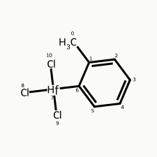 Cc1cccc[c]1[Hf]([Cl])([Cl])[Cl]